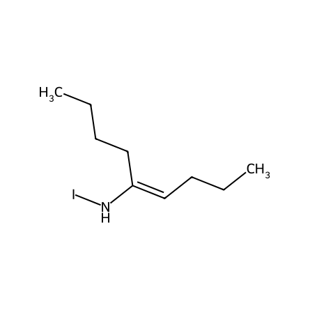 CCC/C=C(\CCCC)NI